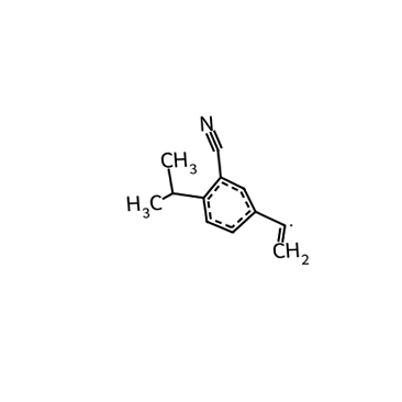 C=[C]c1ccc(C(C)C)c(C#N)c1